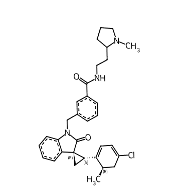 C[C@@H]1CC(Cl)=CC=C1[C@@H]1C[C@@]12C(=O)N(Cc1cccc(C(=O)NCCC3CCCN3C)c1)c1ccccc12